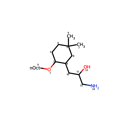 CCCCCCCCOC1CCC(C)(C)CC1CC(O)CN